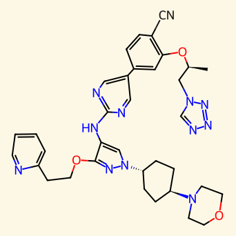 C[C@@H](Cn1cnnn1)Oc1cc(-c2cnc(Nc3cn([C@H]4CC[C@H](N5CCOCC5)CC4)nc3OCCc3ccccn3)nc2)ccc1C#N